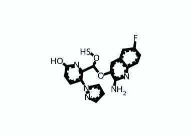 Nc1nc2ccc(F)cc2cc1OC(OS)c1nc(O)ccc1-n1cccn1